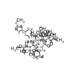 CCc1ncc(-c2ccc(C[C@H](NC(=O)[C@@H](NC(=O)OC)C(C)(C)C)[C@H](C[C@@H](Cc3ccccc3F)C(=O)N[C@H](C(=O)NC)C(C)(C)C)CC(C)(C)[Si](C)(C)O)cc2)s1